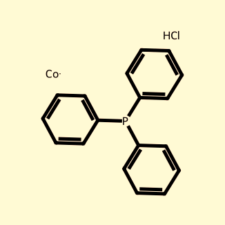 Cl.[Co].c1ccc(P(c2ccccc2)c2ccccc2)cc1